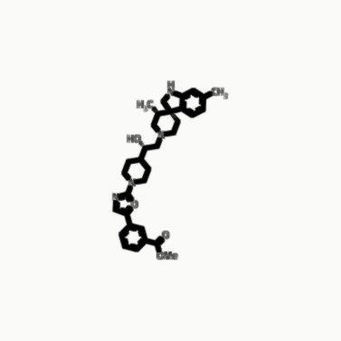 COC(=O)c1cccc(-c2cnc(N3CCC([C@H](O)CN4CC[C@]5(CNc6cc(C)ccc65)[C@H](C)C4)CC3)o2)c1